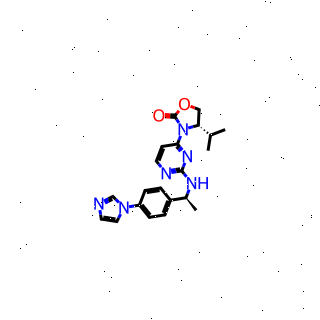 CC(C)[C@H]1COC(=O)N1c1ccnc(N[C@@H](C)c2ccc(-n3ccnc3)cc2)n1